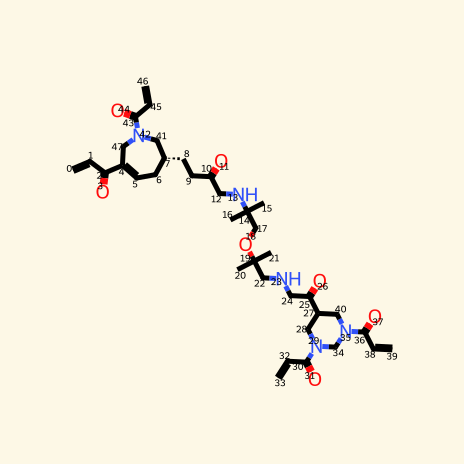 C=CC(=O)C1=CC[C@@H](CCC(=O)CNC(C)(C)COC(C)(C)CNCC(=O)C2CN(C(=O)C=C)CN(C(=O)C=C)C2)CN(C(=O)C=C)C1